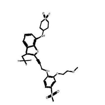 COCCOc1cc(S(C)(=O)=O)ccc1NCC#Cc1sc2c(NC3CCS(=O)(=O)CC3)cccc2c1CC(F)(F)F